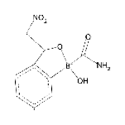 NC(=O)[B-]1(O)OC(C[N+](=O)[O-])c2cc[c]cc21